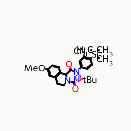 COc1ccc2c(c1)CCN(C(=O)OC(C)(C)C)C2C(=O)Nc1ccc([Si](C)(C)C)c(C#N)c1